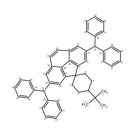 CC(C)(C)C1CCC2(CC1)c1cc(N(c3ccccc3)c3ccccc3)cc3ccc4cc(N(c5ccccc5)c5ccccc5)cc2c4c13